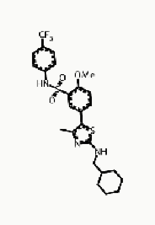 COc1ccc(-c2sc(NCC3CCCCC3)nc2C)cc1S(=O)(=O)Nc1ccc(C(F)(F)F)cc1